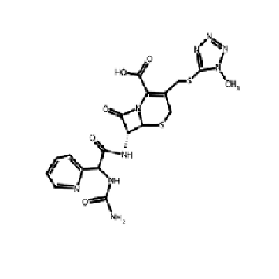 Cn1nnnc1SCC1=C(C(=O)O)N2C(=O)[C@@H](NC(=O)C(NC(N)=O)c3ccccn3)C2SC1